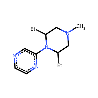 CCC1CN(C)CC(CC)N1c1cnccn1